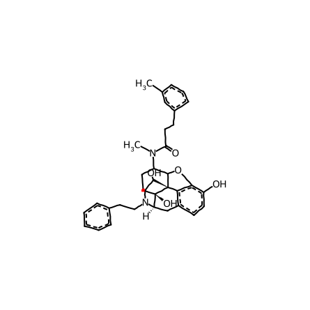 Cc1cccc(CCC(=O)N(C)C2CC[C@@]3(O)[C@H]4Cc5ccc(O)c6c5[C@@]3(C(O)CN4CCc3ccccc3)C2O6)c1